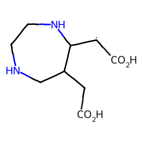 O=C(O)[CH]C1NCCNCC1CC(=O)O